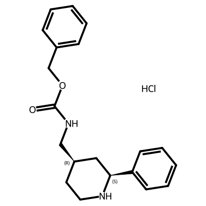 Cl.O=C(NC[C@@H]1CCN[C@H](c2ccccc2)C1)OCc1ccccc1